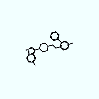 Fc1ccc(CCN2CCC(c3c[nH]c4ccc(F)cc34)CC2)c(-c2ccccc2)c1